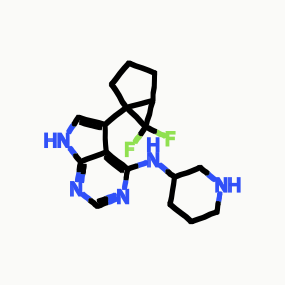 FC1(F)C2CCCC21c1c[nH]c2ncnc(NC3CCCNC3)c12